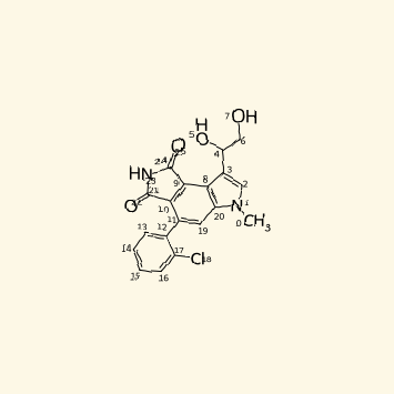 Cn1cc(C(O)CO)c2c3c(c(-c4ccccc4Cl)cc21)C(=O)NC3=O